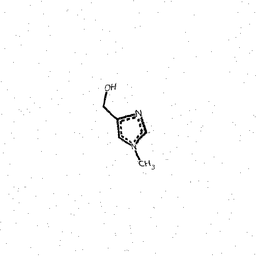 Cn1[c]nc(CO)c1